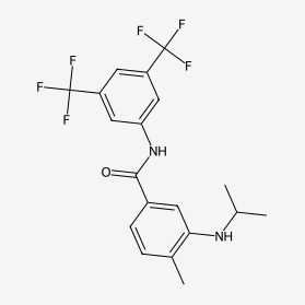 Cc1ccc(C(=O)Nc2cc(C(F)(F)F)cc(C(F)(F)F)c2)cc1NC(C)C